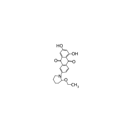 CCOC1CCCCN1c1ccc2c(c1)C(=O)c1cc(O)cc(O)c1C2=O